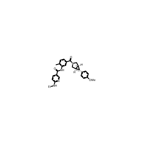 CCNc1ccc(C(=O)Nc2cc(C(=O)N3C[C@@H]4[C@H](C3)[C@H]4c3ccc(OC)cc3)ccc2C)cn1